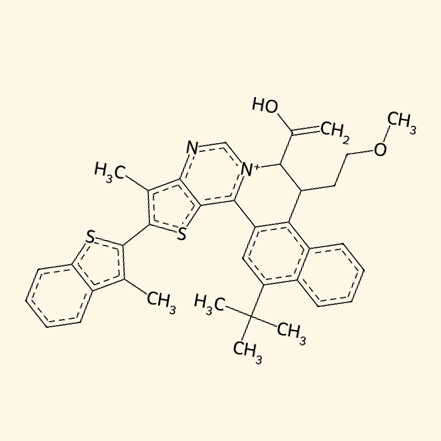 C=C(O)C1C(CCOC)c2c(cc(C(C)(C)C)c3ccccc23)-c2c3sc(-c4sc5ccccc5c4C)c(C)c3nc[n+]21